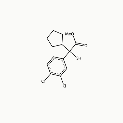 COC(=O)C(S)(c1ccc(Cl)c(Cl)c1)C1CCCC1